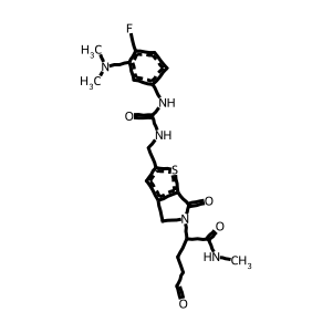 CNC(=O)C(CCC=O)N1Cc2cc(CNC(=O)Nc3ccc(F)c(N(C)C)c3)sc2C1=O